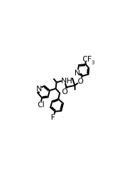 CC(NC(=O)C(C)(C)Oc1ccc(C(F)(F)F)cn1)C(Cc1ccc(F)cc1)c1cncc(Cl)c1